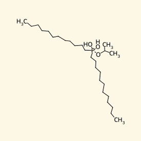 CCCCCCCCCCCCP(O)(O)(CCCCCCCCCCCC)OC(C)C